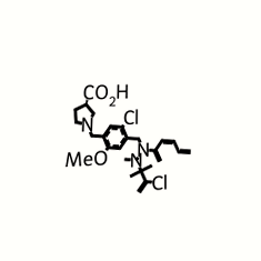 C=C/C=C\C(=C)N(Cc1cc(OC)c(CN2CC[C@@H](C(=O)O)C2)cc1Cl)N(C)C(C)(C)C(=C)Cl